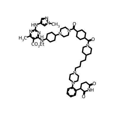 CCOC(=O)c1c(C)nc(Nc2cnn(C)c2)nc1NC1CCC(N2CCN(C(=O)C3CCC(C(=O)N4CCC(CCCCN5CCN(c6ccccc6C6CCC(=O)NC6=O)CC5)CC4)CC3)CC2)CC1